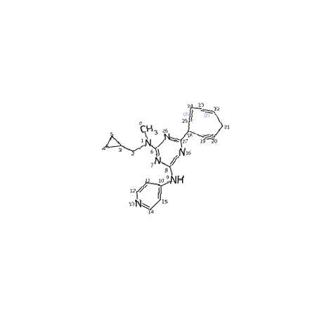 CN(CC1CC1)c1nc(Nc2ccncc2)nc(C2C#CC/C=C\C=C/2)n1